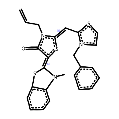 C=CCn1c(=O)/c(=C2\Sc3ccccc3N2C)s/c1=C\c1scc[n+]1Cc1ccccc1